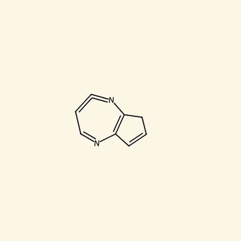 C1=CC=NC2=C(CC=C2)N=1